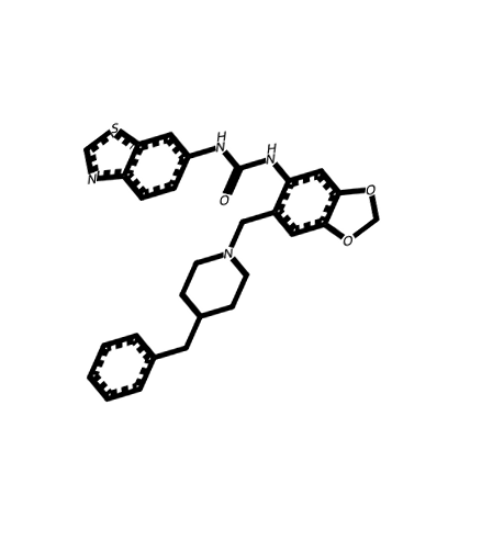 O=C(Nc1ccc2ncsc2c1)Nc1cc2c(cc1CN1CCC(Cc3ccccc3)CC1)OCO2